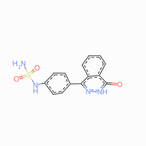 NS(=O)(=O)Nc1ccc(-c2n[nH]c(=O)c3ccccc23)cc1